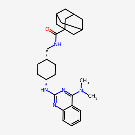 CN(C)c1nc(N[C@H]2CC[C@@H](CNC(=O)C34CC5CC(CC(C5)C3)C4)CC2)nc2ccccc12